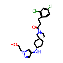 O=C(CCc1ccc(Cl)cc1Cl)N1CC[C@]2(CC[C@H](Nc3cnn(CCO)c3)CC2)C1